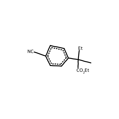 CCOC(=O)C(C)(CC)c1ccc(C#N)cc1